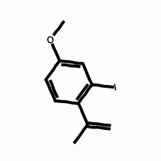 C=C(C)c1ccc(OC)cc1I